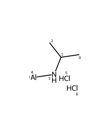 CC(C)[NH][Al].Cl.Cl